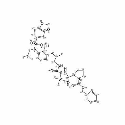 CC(C)CN(c1cccc(CC(C)CNC(=O)[C@H](NC(=O)C2CCCN2C(=O)OCc2ccccc2)C(C)(C)C)c1O)S(=O)(=O)c1ccc2c(c1)OCO2